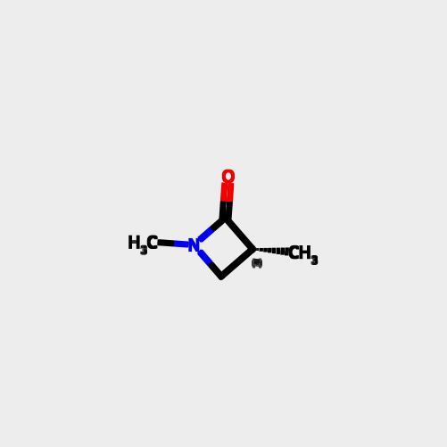 C[C@@H]1CN(C)C1=O